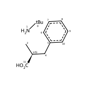 CC(C)(C)N.C[C@@H](Cc1ccccc1)C(=O)O